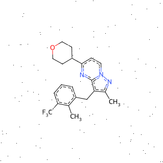 Cc1nn2ccc(C3CCOCC3)nc2c1Cc1cccc(C(F)(F)F)c1C